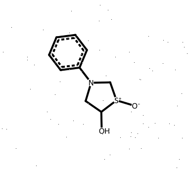 [O-][S+]1CN(c2ccccc2)CC1O